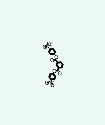 O=C(Oc1ccc([N+](=O)[O-])cc1)c1cccc(C(=O)Oc2ccc([N+](=O)[O-])cc2)c1